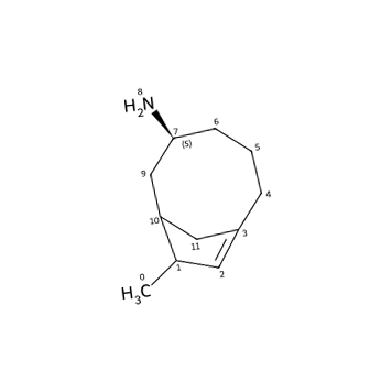 CC1C=C2CCC[C@H](N)CC1C2